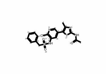 CC(=O)Nc1nc(C)c(-c2cnc(Cl)c(NS(=O)(=O)Cc3ccccc3)c2)s1